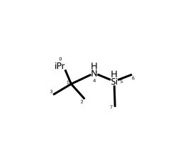 CC(C)C(C)(C)N[SiH](C)C